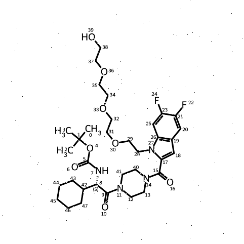 CC(C)(C)OC(=O)N[C@H](C(=O)N1CCN(C(=O)c2cc3cc(F)c(F)cc3n2CCOCCOCCOCCO)CC1)C1CCCCC1